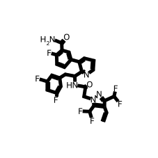 C=Cc1c(C(F)F)nn(CC(=O)NC(Cc2cc(F)cc(F)c2)c2ncccc2-c2ccc(F)c(C(N)=O)c2)c1C(F)F